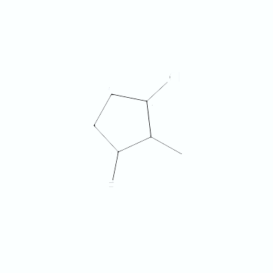 CC1C(Cl)[CH]CC1F